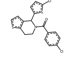 O=C(c1ccc(Cl)cc1)N1CCc2sccc2C1c1ccc(Cl)s1